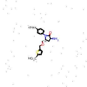 CCCCCCc1ccc(N2C(=O)C(N)C[C@@H]2COCc2ccc(C(=O)O)s2)cc1